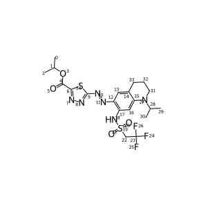 CC(C)OC(=O)c1nnc(N=Nc2cc3c(cc2NS(=O)(=O)CC(F)(F)F)N(C(C)C)CCC3)s1